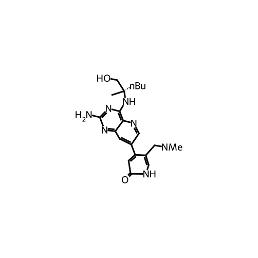 CCCC[C@](C)(CO)Nc1nc(N)nc2cc(-c3cc(=O)[nH]cc3CNC)cnc12